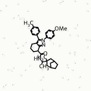 COc1ccc(-n2nc3c(c2-c2ccc(C)cc2)CCCC3C(=O)NC(C)C2(C)CC3CCC(C3)C2)cc1